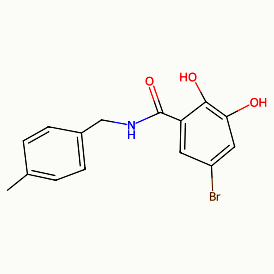 Cc1ccc(CNC(=O)c2cc(Br)cc(O)c2O)cc1